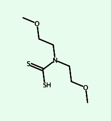 COCCN(CCOC)C(=S)S